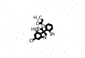 C=CC(=O)OC(C)C1(c2ccccc2C(C)C)C=Nc2cc(Cl)cc(Cl)c21